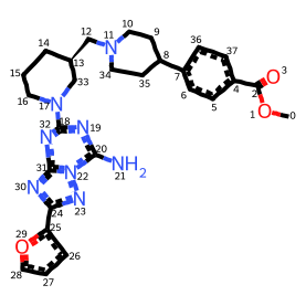 COC(=O)c1ccc(C2CCN(C[C@@H]3CCCN(c4nc(N)n5nc(-c6ccco6)nc5n4)C3)CC2)cc1